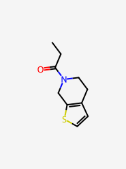 CCC(=O)N1CCc2ccsc2C1